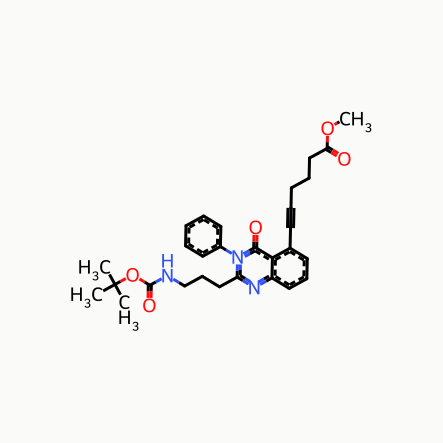 COC(=O)CCCC#Cc1cccc2nc(CCCNC(=O)OC(C)(C)C)n(-c3ccccc3)c(=O)c12